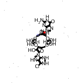 Nc1nc2c(ncn2C2=C3O[PH](O)(O)OCc4oc(N5CNC6=C(Cl)NCNC65)c(O)c4O[PH](O)(O)O/C=C(/O2)[C@H]3O)c(=O)[nH]1